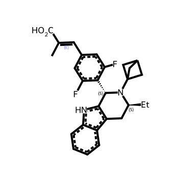 CC[C@H]1Cc2c([nH]c3ccccc23)[C@H](c2c(F)cc(/C=C(\C)C(=O)O)cc2F)N1C12CC(C1)C2